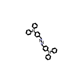 C(=N\N=C\c1ccc(N(c2ccccc2)c2ccccc2)cc1)/c1ccc(N(c2ccccc2)c2ccccc2)cc1